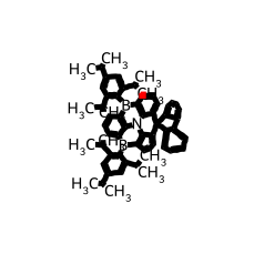 CC(C)c1cc(C(C)C)c(B2c3cccc4c3N3c5c2cccc5C2(c5ccccc5-c5ccccc52)c2cccc(c23)B4c2c(C(C)C)cc(C(C)C)cc2C(C)C)c(C(C)C)c1